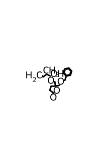 C=CC(C)C(O)OCC1(COCc2ccccc2)CCC(=O)O1